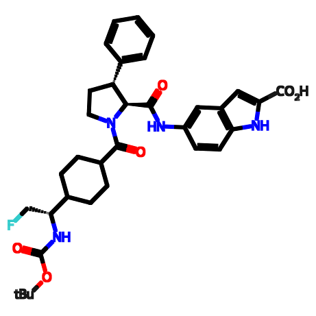 CC(C)(C)OC(=O)N[C@H](CF)C1CCC(C(=O)N2CC[C@H](c3ccccc3)[C@H]2C(=O)Nc2ccc3[nH]c(C(=O)O)cc3c2)CC1